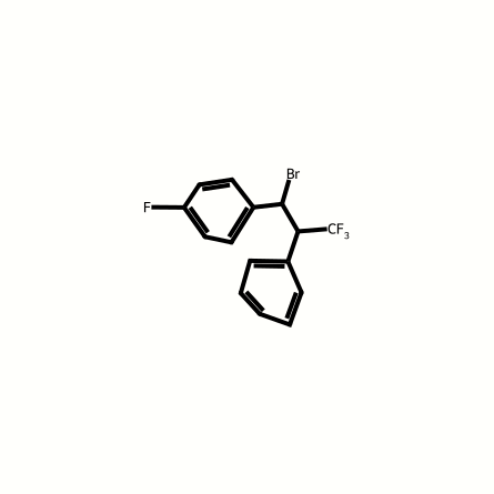 Fc1ccc(C(Br)C(c2ccccc2)C(F)(F)F)cc1